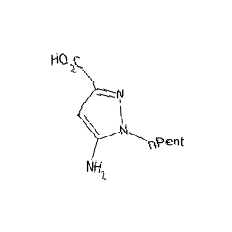 CCCCCn1nc(C(=O)O)cc1N